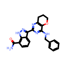 NC(=O)c1cccc2c(-c3nc4c(c(NCc5ccccc5)n3)OCCC4)n[nH]c12